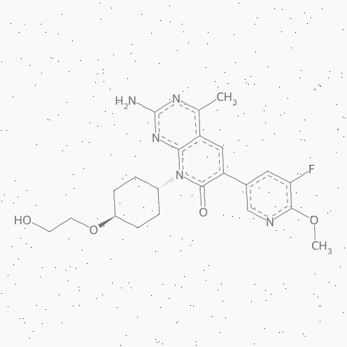 COc1ncc(-c2cc3c(C)nc(N)nc3n([C@H]3CC[C@H](OCCO)CC3)c2=O)cc1F